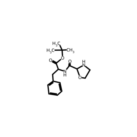 CC(C)(C)OC(=O)C(Cc1ccccc1)NC(=O)C1NCCO1